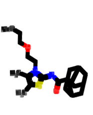 COCCOCCn1c(C)c(C)sc1=NC(=O)C12CC3CC(CC(C3)C1)C2